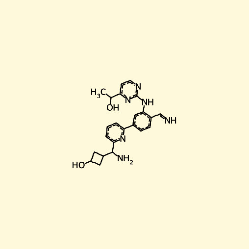 CC(O)c1ccnc(Nc2cc(-c3cccc(C(N)C4CC(O)C4)n3)ccc2C=N)n1